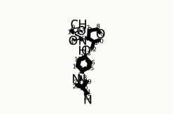 CCS(=O)(=O)NC1CCOCC1COc1ccc(-n2cc(C#N)cn2)cc1